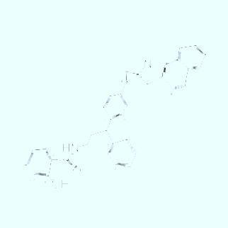 NC1(Cc2ccc3ccccc3c2)CC1c1ccc(C(CCNC(=O)c2ccccc2O)c2ccccc2)cc1